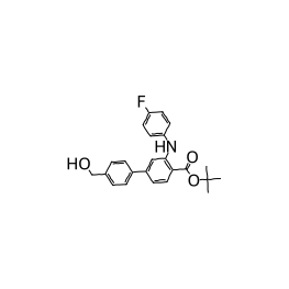 CC(C)(C)OC(=O)c1ccc(-c2ccc(CO)cc2)cc1Nc1ccc(F)cc1